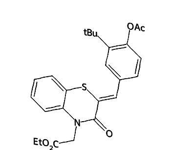 CCOC(=O)CN1C(=O)C(=Cc2ccc(OC(C)=O)c(C(C)(C)C)c2)Sc2ccccc21